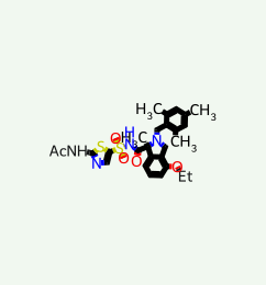 CCOc1cccc2c1CN(Cc1c(C)cc(C)cc1C)C2(C)C(=O)NS(=O)(=O)c1cnc(NC(C)=O)s1